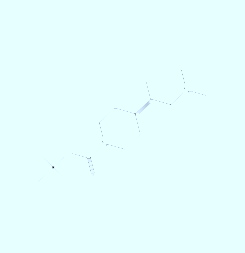 CN(C)CC(Cl)=C1CCN(C(=O)OC(C)(C)C)CC1